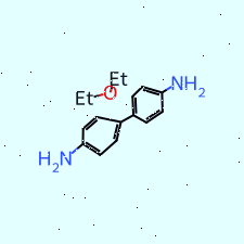 CCOCC.Nc1ccc(-c2ccc(N)cc2)cc1